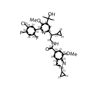 COc1c(C(C)(C)O)cc(C(CNC(=O)c2cc(OC)c3nn(C4CC4)cc3c2)C2CC2)nc1-c1cc(Cl)c(F)cc1F